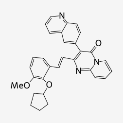 COc1cccc(/C=C/c2nc3ccccn3c(=O)c2-c2ccc3ncccc3c2)c1OC1CCCC1